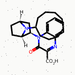 O=C(O)c1nc2ccccc2n([C@@H]2C[C@@H]3CC[C@H]2N3C2CCCCCCCC2)c1=O